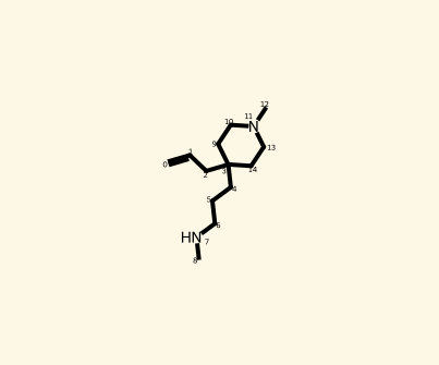 C=CCC1(CCCNC)CCN(C)CC1